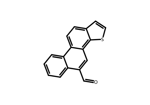 O=Cc1cc2c(ccc3ccsc32)c2ccccc12